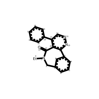 CCN1Cc2cccc(c2)-c2nncc(-c3ccccc3)c2C1=O